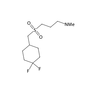 CNCCCS(=O)(=O)CC1CCC(F)(F)CC1